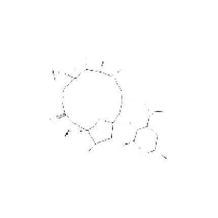 CC[C@H]1OC(=O)[C@H](C)[C@]2(O)O[C@@](C)(C[C@@H](C)CN(C)[C@H](C)[C@@H](O)[C@]1(C)O)[C@H](O[C@@H]1O[C@H](C)CC(N(C)C)[C@H]1O)[C@H]2C